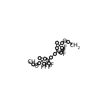 C=Cc1ccc(Oc2ccc(C3(c4cc(F)c(F)c(F)c4)c4ccccc4-c4ccc(N(c5ccc(-c6ccc(N(c7ccc(F)c(F)c7)c7ccc8c(c7)C(c7ccc(Oc9ccc(C=C)cc9)cc7)(c7cc(F)c(F)c(F)c7)c7ccccc7-8)cc6)cc5)c5ccc(F)c(F)c5)cc43)cc2)cc1